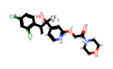 CC(c1ccc(Cl)cc1Cl)C(O)(c1ccnc(OCC(=O)N2CCOCC2)c1)C(F)(F)F